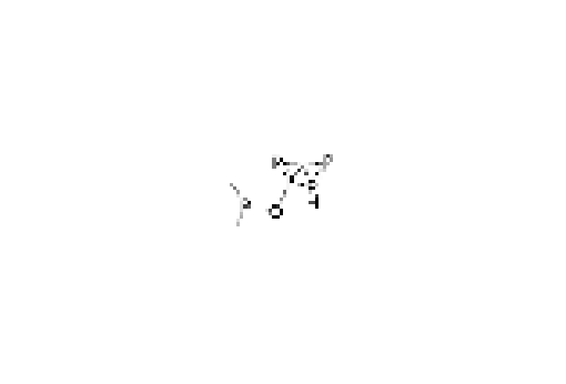 CP(C)OP12=PC13P=[PH]32